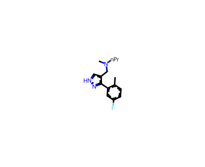 CCCN(C)Cc1c[nH]nc1-c1cc(F)ccc1C